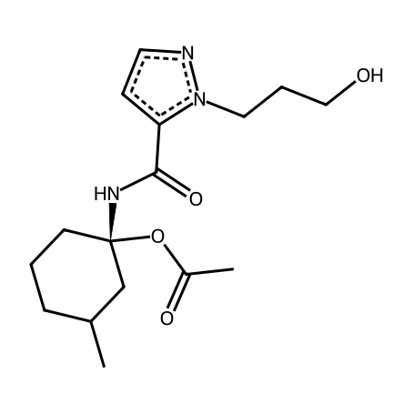 CC(=O)O[C@@]1(NC(=O)c2ccnn2CCCO)CCCC(C)C1